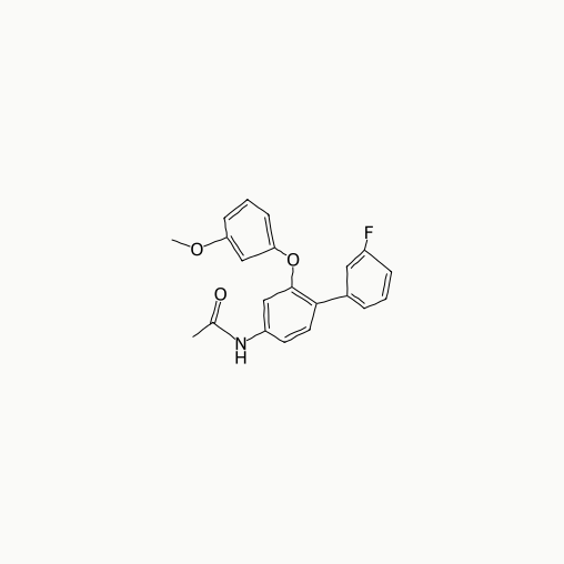 COc1cccc(Oc2cc(NC(C)=O)ccc2-c2cccc(F)c2)c1